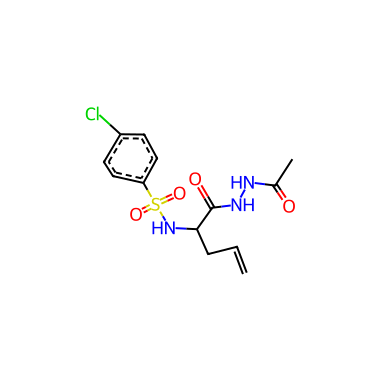 C=CCC(NS(=O)(=O)c1ccc(Cl)cc1)C(=O)NNC(C)=O